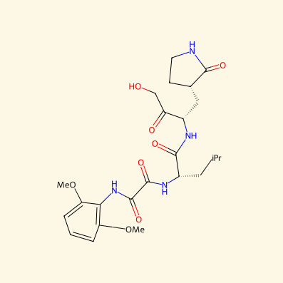 COc1cccc(OC)c1NC(=O)C(=O)N[C@@H](CC(C)C)C(=O)N[C@@H](C[C@@H]1CCNC1=O)C(=O)CO